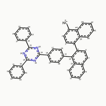 N#Cc1ccc(-c2ccc3ccccc3c2-c2ccc(-c3nc(-c4ccccc4)nc(-c4ccccc4)n3)cc2)c2ccccc12